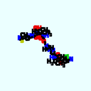 Cc1ncsc1-c1ccc(CNC(=O)[C@@H]2C[C@@H](O)CN2C(=O)C(NC(=O)COCCN2C[C@H]3C[C@@H]2CN3c2ccc(C(=O)NC3C(C)(C)C(Oc4ccc(C#N)c(Cl)c4)C3(C)C)cn2)C(C)(C)C)cc1